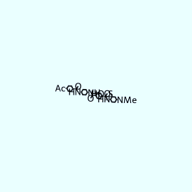 CNc1ccc(NC(=O)c2ccc(C(=O)Nc3ccc(NC(=O)c4ccc(C(C)=O)cc4)cc3)cc2)c(S(=O)(=O)O)c1